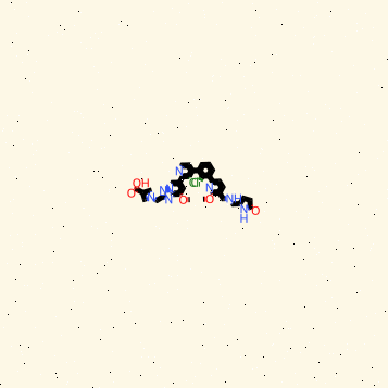 COc1nc(-c2cccc(-c3ccnc(-c4cc(OC)c5nc(CN6CC(C(=O)O)C6)nn5c4)c3Cl)c2Cl)ccc1CNCC1CCC(=O)N1